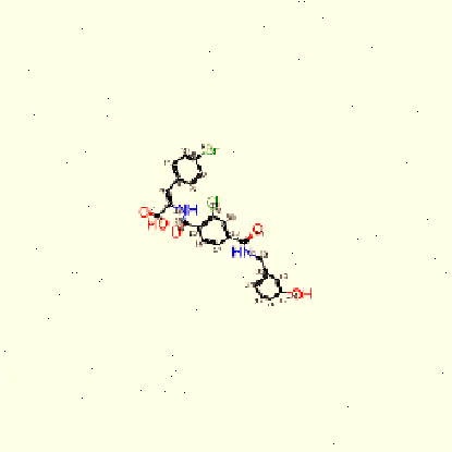 O=C(O)/C(=C/c1ccc(Br)cc1)NC(=O)c1ccc(C(=O)NCc2cccc(O)c2)cc1Cl